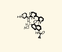 Cc1ccc2c(NC(=O)C3CC3)cccc2c1Oc1ncccc1-c1ccnc(NC2CCCNC2)n1.Cl